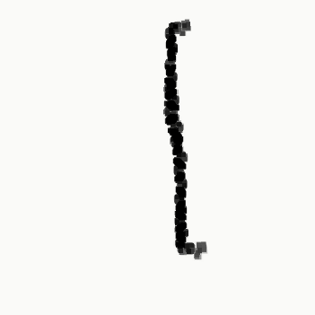 O=C(O)OCCOCCOCCOCCOCCOCCOCCOCCOCCOCCOCCOCCOCCOCCOCCOCCOC(=O)O